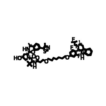 Cc1ncsc1-c1ccc([C@H](C)NC(=O)[C@@H]2C[C@@H](O)CN2C(=O)C(NC(=O)CCOCCCCCCCOc2cc(F)c([C@@H]3c4[nH]c5ccccc5c4C[C@@H](C)N3CC(C)(C)F)c(F)c2)C(C)(C)C)cc1